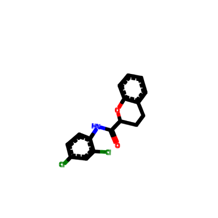 O=C(Nc1ccc(Cl)cc1Cl)C1CCc2ccccc2O1